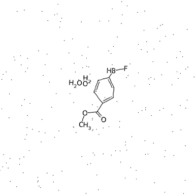 COC(=O)c1ccc(BF)cc1.O.O